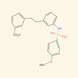 CCCCOc1ccc(S(=O)(=O)Nc2cccc(CCc3cccc(C(=O)O)c3)c2)cc1